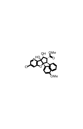 COC(=O)[C@H]1[C@@H](O)[C@@]2(O)c3ncc(Cl)cc3O[C@@]2(c2ccc(OC)cc2)[C@@H]1c1ccccc1